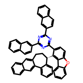 c1ccc2c(c1)-c1cc3ccccc3cc1CC[C@@H]2c1c(-c2nc(-c3ccc4ccccc4c3)nc(-c3ccc4ccccc4c3)n2)ccc2oc3ccccc3c12